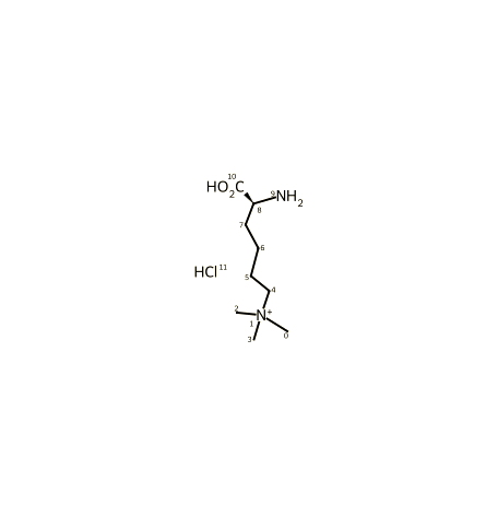 C[N+](C)(C)CCCC[C@H](N)C(=O)O.Cl